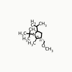 COC[C@H]1CC(C(C)C)N(C(C)(C)C)[C@@H]1C